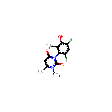 Cn1c(C(F)(F)F)cc(=O)n(-c2c(F)cc(Br)c(O)c2[N+](=O)[O-])c1=O